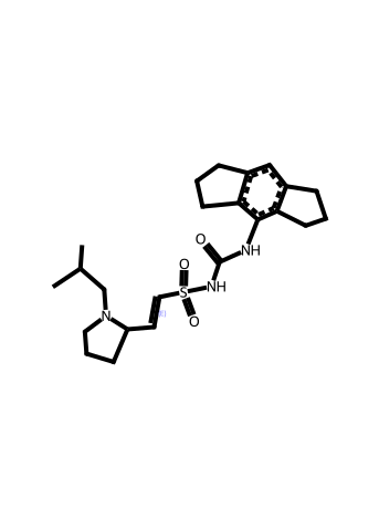 CC(C)CN1CCCC1/C=C/S(=O)(=O)NC(=O)Nc1c2c(cc3c1CCC3)CCC2